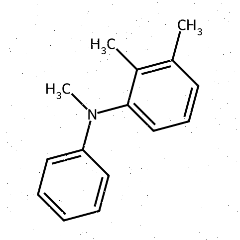 Cc1cccc(N(C)c2ccccc2)c1C